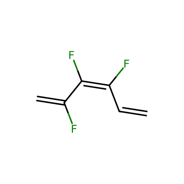 C=C/C(F)=C(/F)C(=C)F